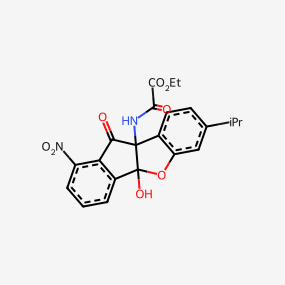 CCOC(=O)C(=O)NC12C(=O)c3c([N+](=O)[O-])cccc3C1(O)Oc1cc(C(C)C)ccc12